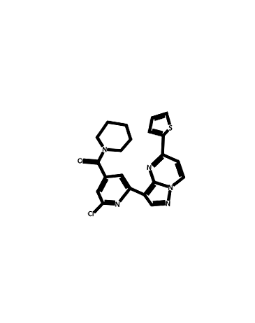 O=C(c1cc(Cl)nc(-c2cnn3ccc(-c4cccs4)nc23)c1)N1CCCCC1